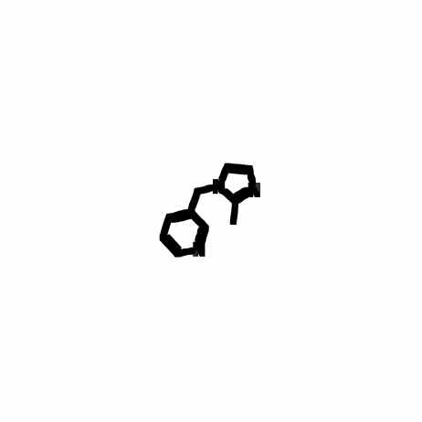 Cc1nccn1Cc1cccnc1